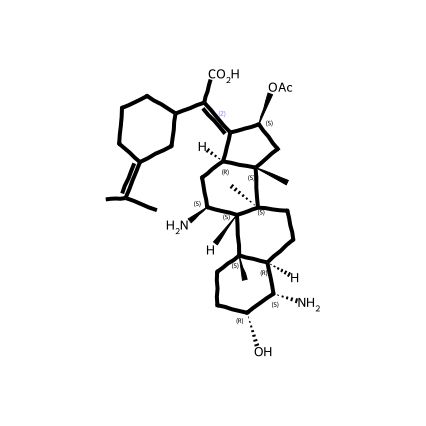 CC(=O)O[C@H]1C[C@@]2(C)[C@@H](C[C@H](N)[C@H]3[C@@]4(C)CC[C@@H](O)[C@@H](N)[C@@H]4CC[C@@]32C)/C1=C(/C(=O)O)C1CCCC(=C(C)C)C1